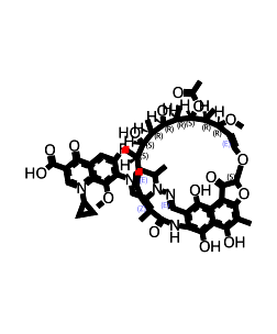 COc1c(N2CCN(/N=C/c3c4c(O)c5c(O)c(C)c6c(c5c3O)C(=O)[C@@](C)(O/C=C/[C@H](OC)[C@@H](C)[C@@H](OC(C)=O)[C@H](C)[C@H](O)[C@H](C)[C@@H](O)[C@@H](C)/C=C/C=C(/C)C(=O)N4)O6)C(C)C2)c(F)cc2c(=O)c(C(=O)O)cn(C3CC3)c12